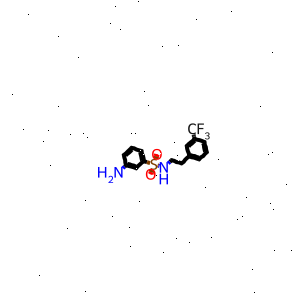 Nc1cccc(S(=O)(=O)NCCc2cccc(C(F)(F)F)c2)c1